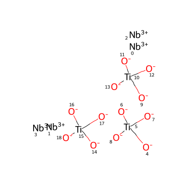 [Nb+3].[Nb+3].[Nb+3].[Nb+3].[O-][Ti]([O-])([O-])[O-].[O-][Ti]([O-])([O-])[O-].[O-][Ti]([O-])([O-])[O-]